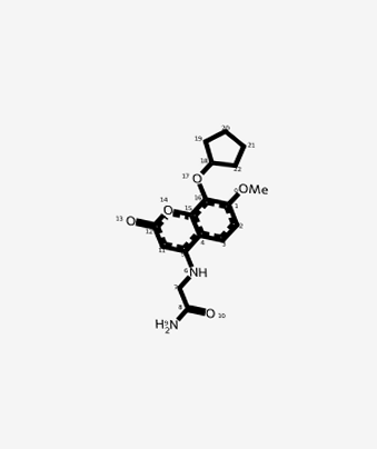 COc1ccc2c(NCC(N)=O)cc(=O)oc2c1OC1CCCC1